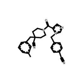 Cc1cccc(CC2(C#N)CCN(C(=O)c3cncn3Cc3ccc(C#N)cc3)CC2)c1